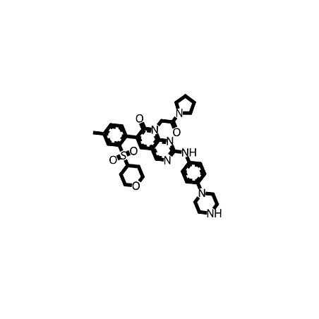 Cc1ccc(-c2cc3cnc(Nc4ccc(N5CCNCC5)cc4)nc3n(CC(=O)N3CCCC3)c2=O)c(S(=O)(=O)C2CCOCC2)c1